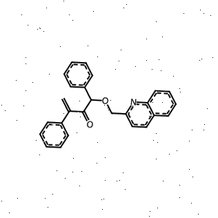 C=C(C(=O)C(OCc1ccc2ccccc2n1)c1ccccc1)c1ccccc1